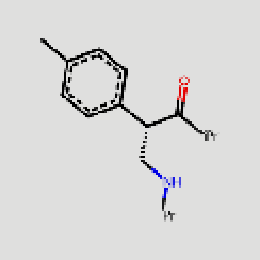 Cc1ccc([C@@H](CNC(C)C)C(=O)C(C)C)cc1